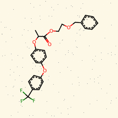 CC(Oc1ccc(Oc2ccc(C(F)(F)F)cc2)cc1)C(=O)OCCOCc1ccccc1